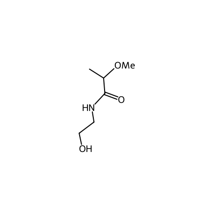 COC(C)C(=O)NCCO